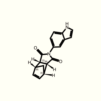 O=C1[C@@H]2[C@H](C(=O)N1c1ccc3[nH]ccc3c1)[C@@H]1C=C[C@H]2C1